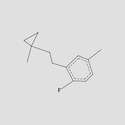 Cc1ccc(F)c(CCC2(C)CC2)c1